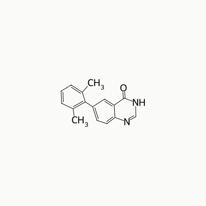 Cc1cccc(C)c1-c1ccc2nc[nH]c(=O)c2c1